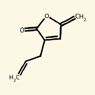 C=CCC1=CC(=C)OC1=O